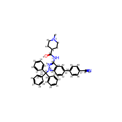 CN1CCC(C(=O)Nc2nn(C(c3ccccc3)(c3ccccc3)c3ccccc3)c3ccc(-c4ccc(C#N)cc4)cc23)CC1